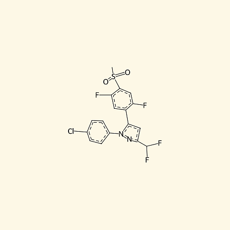 CS(=O)(=O)c1cc(F)c(-c2cc(C(F)F)nn2-c2ccc(Cl)cc2)cc1F